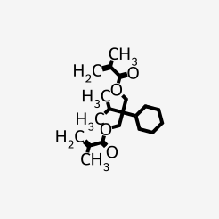 C=C(C)C(=O)OCC(COC(=O)C(=C)C)(C(C)C)C1CCCCC1